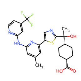 Cc1cc(Nc2cc(C(F)(F)F)ccn2)nc(-c2cnc(C(C)(O)[C@H]3CC[C@H](C(=O)O)CC3)s2)c1